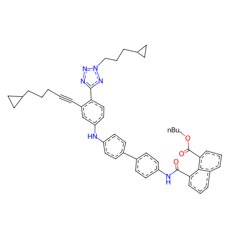 CCCCOC(=O)c1cccc2cccc(C(=O)Nc3ccc(-c4ccc(Nc5ccc(-c6nnn(CCCC7CC7)n6)c(C#CCCCC6CC6)c5)cc4)cc3)c12